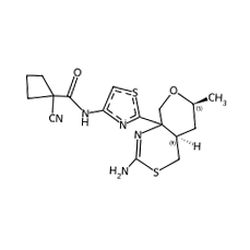 C[C@H]1C[C@H]2CSC(N)=NC2(c2nc(NC(=O)C3(C#N)CCC3)cs2)CO1